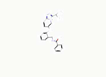 CC(C)c1nnc2ccc(Sc3ccccc3CNC(=O)c3ccccc3)cn12